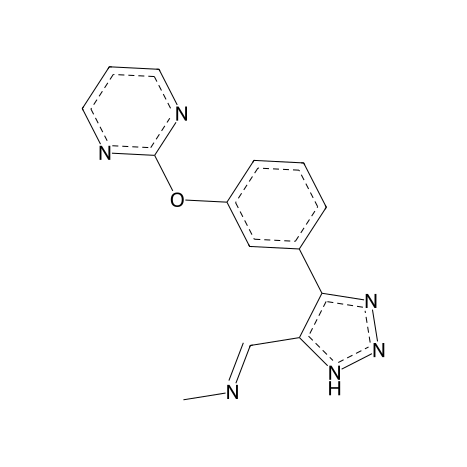 C/N=C/c1[nH]nnc1-c1cccc(Oc2ncccn2)c1